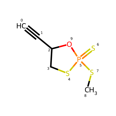 C#CC1CSP(=S)(SC)O1